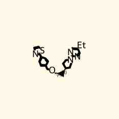 CCc1cnc(N2CCC([C@H]3C[C@H]3COCc3ccc(-c4nccs4)cc3)CC2)nc1